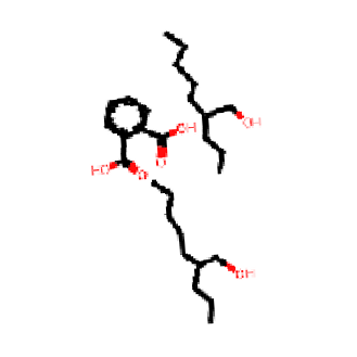 CCCCCC(CO)CCC.CCCCCC(CO)CCC.O=C(O)c1ccccc1C(=O)O